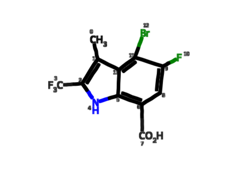 Cc1c(C(F)(F)F)[nH]c2c(C(=O)O)cc(F)c(Br)c12